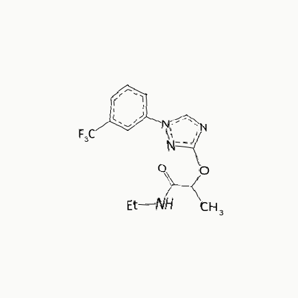 CCNC(=O)C(C)Oc1ncn(-c2cccc(C(F)(F)F)c2)n1